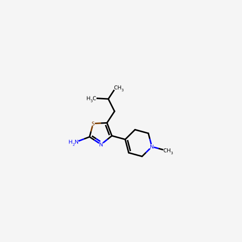 CC(C)Cc1sc(N)nc1C1=CCN(C)CC1